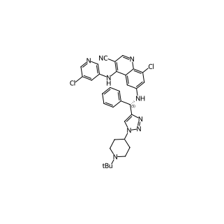 CC(C)(C)N1CCC(n2cc([C@@H](Nc3cc(Cl)c4ncc(C#N)c(Nc5cncc(Cl)c5)c4c3)c3ccccc3)nn2)CC1